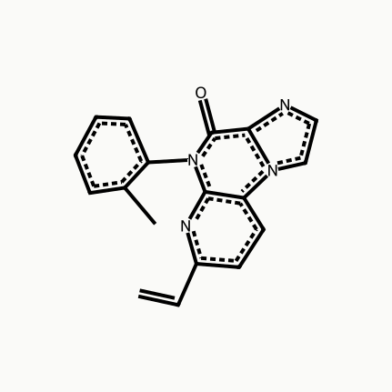 C=Cc1ccc2c(n1)n(-c1ccccc1C)c(=O)c1nccn12